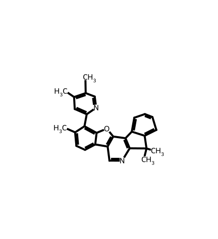 Cc1cnc(-c2c(C)ccc3c2oc2c4c(ncc23)C(C)(C)c2ccccc2-4)cc1C